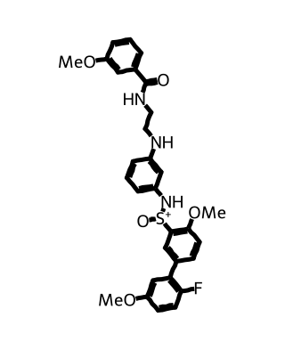 COc1cccc(C(=O)NCCNc2cccc(N[S+]([O-])c3cc(-c4cc(OC)ccc4F)ccc3OC)c2)c1